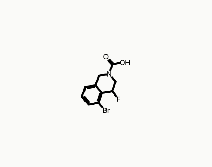 O=C(O)N1Cc2cccc(Br)c2C(F)C1